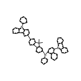 CC1(C)c2cc(-c3ccc4c(c3)c3ccccc3n4-c3ccccc3)ccc2-c2ccc(N(c3ccccc3)c3ccc(-n4c5ccccc5c5ccccc54)c4ccccc34)cc21